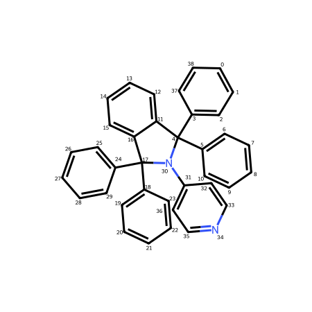 c1ccc(C2(c3ccccc3)c3ccccc3C(c3ccccc3)(c3ccccc3)N2c2ccncc2)cc1